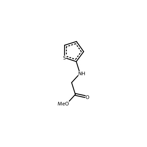 COC(=O)CNc1cccs1